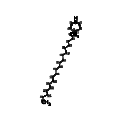 C1=CC=CNC=C1.CCCCCCCCCCCCCCCCCCCC